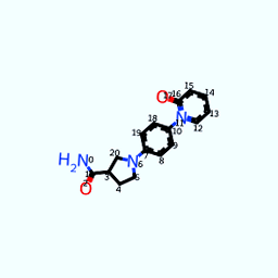 NC(=O)C1CCN(c2ccc(-n3ccccc3=O)cc2)C1